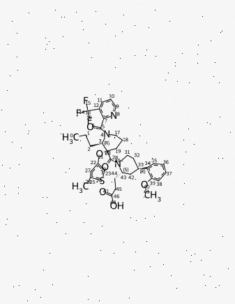 CCC[C@H]1N(C(=O)c2ncccc2C(F)(F)F)CCC[C@@]1(Oc1csc(C)c1)C(=O)N1CC[C@@H](c2ccccc2OC)C[C@@H]1CCC(=O)O